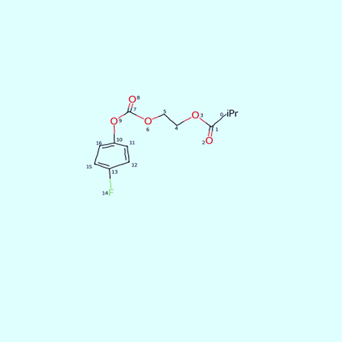 CC(C)C(=O)OCCOC(=O)Oc1ccc(F)cc1